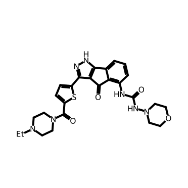 CCN1CCN(C(=O)c2ccc(-c3n[nH]c4c3C(=O)c3c(NC(=O)NN5CCOCC5)cccc3-4)s2)CC1